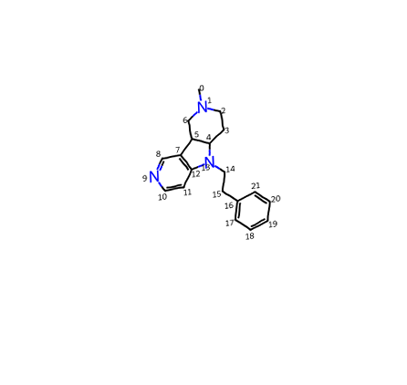 CN1CCC2C(C1)c1cnccc1N2CCc1ccccc1